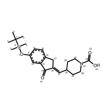 CC(C)(C)[Si](C)(C)Oc1ccc2c(c1)C(=O)/C(=C/C1CCN(C(=O)O)CC1)C2